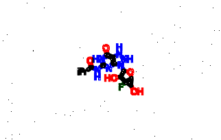 CC(C)C(=O)Nc1nc2c(c(=O)[nH]1)NNN2C1OC2C(O)C2(F)C1O